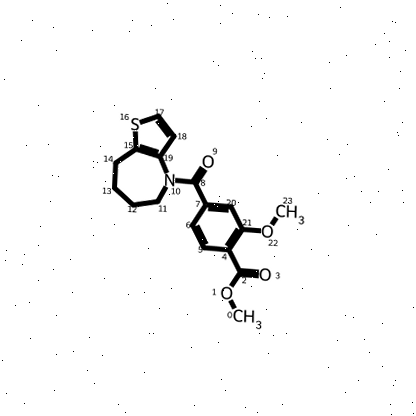 COC(=O)c1ccc(C(=O)N2CCCCc3sccc32)cc1OC